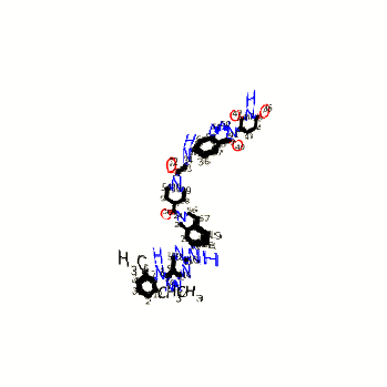 Cc1cccc(C)c1Nc1nn(C)c2nc(Nc3ccc4c(c3)CN(C(=O)C3CCN(C(=O)CNc5ccc6c(=O)n(C7CCC(=O)NC7=O)nnc6c5)CC3)CC4)ncc12